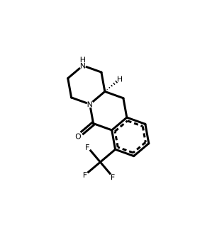 O=C1c2c(cccc2C(F)(F)F)C[C@@H]2CNCCN12